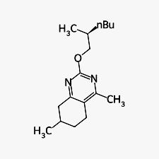 CCCC[C@H](C)COc1nc(C)c2c(n1)CC(C)CC2